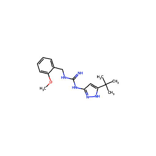 COc1ccccc1CNC(=N)Nc1cc(C(C)(C)C)[nH]n1